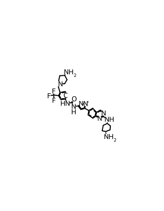 Cn1nc(NC(=O)Nc2ccc(CN3CCC(N)CC3)c(C(F)(F)F)c2)cc1-c1ccc2nc(N[C@H]3CC[C@H](N)CC3)ncc2c1